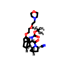 CC(C)(C)OC(=O)N[C@H](C(=O)N1[C@H](C#N)C[C@@H]2C[C@@H]21)C12CC3C[C@H](CC(OCCOCCN4CCOCC4)(C3)C1)C2